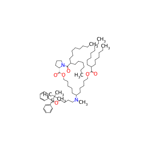 CCCCCCCCC(CCCCCC)C(=O)OCCCCCC(CCCCCOC(=O)[C@@H]1CCCN1C(=O)C(CCCCCC)CCCCCCCC)N(C)CCCCO[Si](c1ccccc1)(c1ccccc1)C(C)(C)C